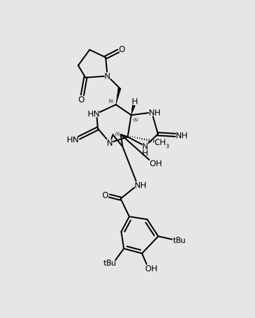 CC(C)(C)c1cc(C(=O)NC2CN3C(=N)N[C@@H](CN4C(=O)CCC4=O)[C@@H]4NC(=N)NC43[C@@]2(C)O)cc(C(C)(C)C)c1O